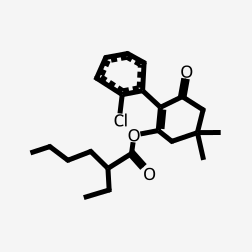 CCCCC(CC)C(=O)OC1=C(c2ccccc2Cl)C(=O)CC(C)(C)C1